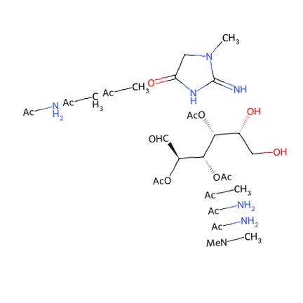 CC(=O)O[C@@H]([C@H](OC(C)=O)[C@H](C=O)OC(C)=O)[C@H](O)CO.CC(C)=O.CC(C)=O.CC(C)=O.CC(N)=O.CC(N)=O.CC(N)=O.CN1CC(=O)NC1=N.CNC